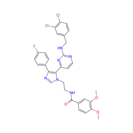 COc1ccc(C(=O)NCCn2cnc(-c3ccc(F)cc3)c2-c2ccnc(NCc3ccc(Cl)c(Cl)c3)n2)cc1OC